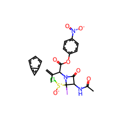 C=C(C)C(C(=O)Oc1ccc([N+](=O)[O-])cc1)N1C(=O)C(NC(C)=O)C1(I)[S+]([O-])Cl.c1cc2cc-2c1